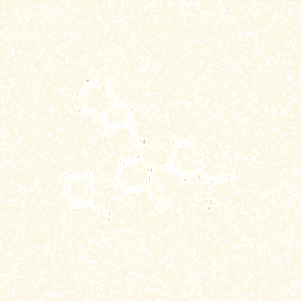 CC1=CC(c2ccccc2Cl)N=C(Nc2nc3ccccc3o2)N1c1cc(C(N)=O)ccn1